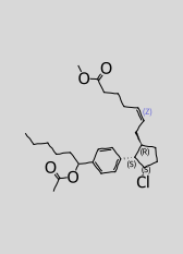 CCCCCC(OC(C)=O)c1ccc([C@@H]2[C@@H](C/C=C\CCCC(=O)OC)CC[C@@H]2Cl)cc1